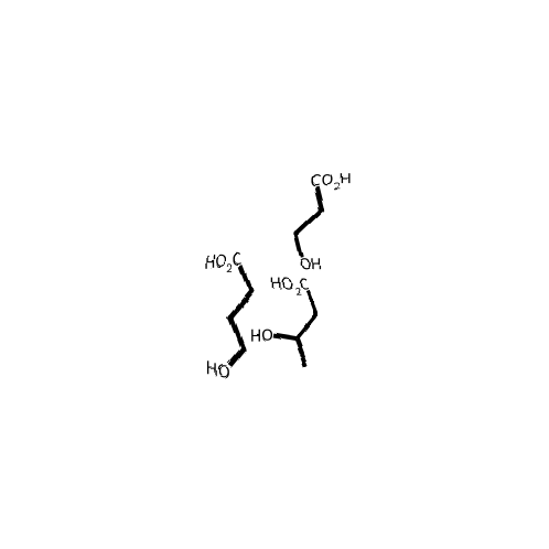 CC(O)CC(=O)O.O=C(O)CCCO.O=C(O)CCO